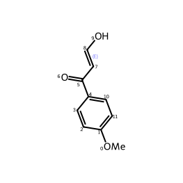 COc1ccc(C(=O)/C=C/O)cc1